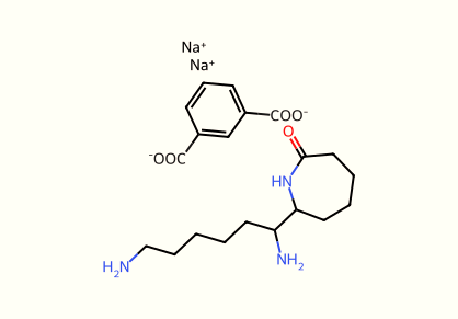 NCCCCCC(N)C1CCCCC(=O)N1.O=C([O-])c1cccc(C(=O)[O-])c1.[Na+].[Na+]